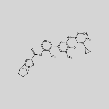 C/N=C(\C=C(/N)C1CC1)Nc1cc(-c2cccc(NC(=O)c3cc4c(s3)C3CCC4C3)c2C)cn(C)c1=O